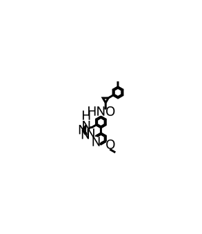 CCOc1cncc(-c2ccc(NC(=O)C3CC3c3cccc(C)c3)cc2-c2nnn[nH]2)c1